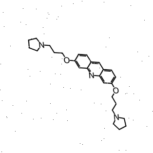 c1cc2cc3ccc(OCCCN4CCCC4)cc3nc2cc1OCCCN1CCCC1